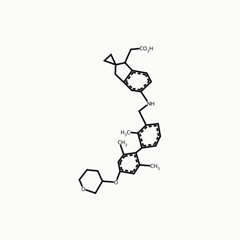 Cc1cc(OC2CCCOC2)cc(C)c1-c1cccc(CNc2ccc3c(c2)CC2(CC2)C3CC(=O)O)c1C